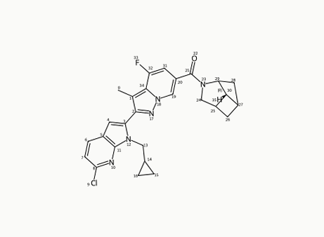 Cc1c(-c2cc3ccc(Cl)nc3n2CC2CC2)nn2cc(C(=O)N3CC4CC5CC3[C@H]54)cc(F)c12